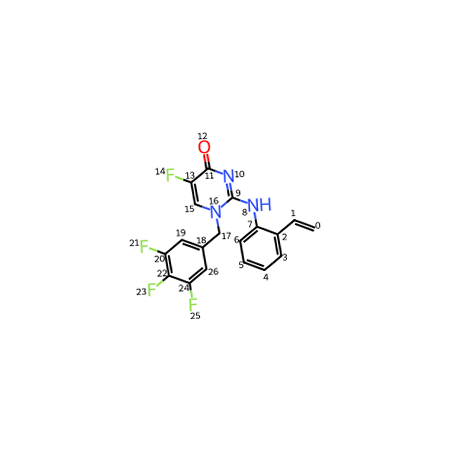 C=Cc1ccccc1Nc1nc(=O)c(F)cn1Cc1cc(F)c(F)c(F)c1